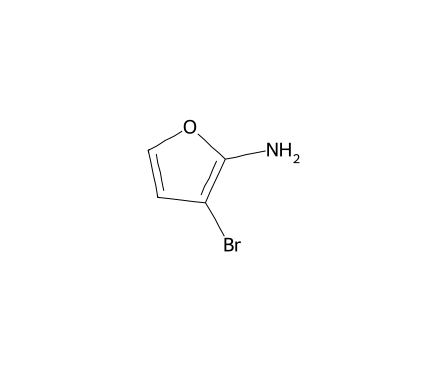 Nc1occc1Br